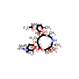 CCCN1CC2[C@H](C)O[C@@H](O[C@H]3[C@H](C)[C@@H](O[C@@H]4O[C@H](C)CC[C@H]4OC(NC)C(F)(F)F)[C@](C)(O)C[C@@H](C)CN[C@H](C)[C@@H](O)[C@](C)(O)[C@@H](CC)OC(=O)[C@@H]3C)C[C@@]21OC